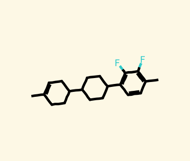 CC1=CCC(C2CCC(c3ccc(C)c(F)c3F)CC2)CC1